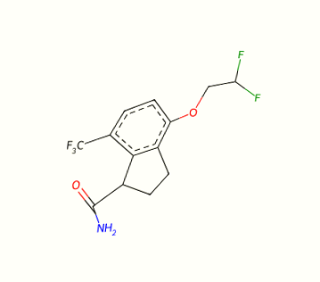 NC(=O)C1CCc2c(OCC(F)F)ccc(C(F)(F)F)c21